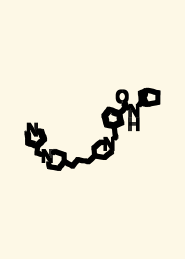 O=C(NC1CC2CCC1C2)c1cccc(CN2CCC(CCCC3CCN(Cc4ccncc4)CC3)CC2)c1